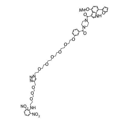 COc1ccc(-c2ccco2)c2[nH]cc(C(=O)N3CCN(C(=O)c4cccc(OCCOCCOCCOCCOCCOCCn5cc(COCOCOCCNc6c([N+](=O)[O-])cccc6[N+](=O)[O-])nn5)c4)CC3)c12